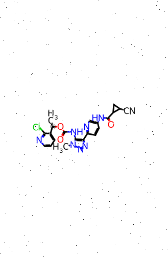 C[C@@H](OC(=O)Nc1c(-c2ccc(NC(=O)C3CC3C#N)cn2)nnn1C)c1cccnc1Cl